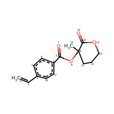 C=Cc1ccc(C(=O)OC2(C)CCCOC2=O)cc1